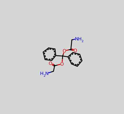 NCC(=O)OC(OC(=O)CN)(c1ccccc1)c1ccccc1